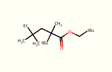 CCC(C)(C)CC(C)(C(=O)OCC(C)(C)C)C(C)(C)C